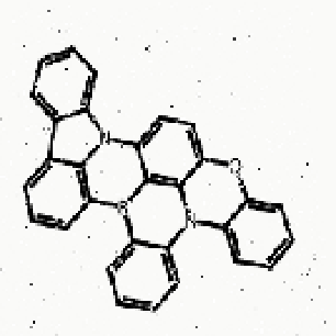 c1ccc2c(c1)Oc1ccc3c4c1N2c1ccccc1B4c1cccc2c4ccccc4n-3c12